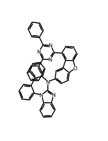 c1ccc(-c2nc(-c3ccccc3)nc(-c3cccc4oc5ccc(N6c7ccccc7-c7ccccc7-n7c6nc6ccccc67)cc5c34)n2)cc1